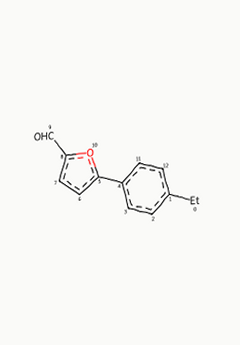 CCc1ccc(-c2ccc(C=O)o2)cc1